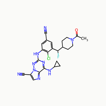 CC(=O)N1CCC(C(F)c2cc(C#N)cc(Nc3nc(NC4CC4)c4ncc(C#N)n4n3)c2Cl)CC1